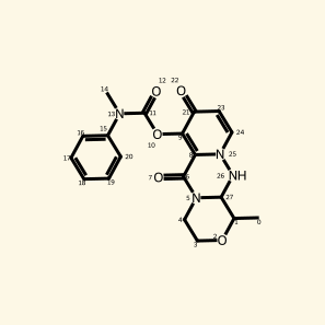 CC1OCCN2C(=O)c3c(OC(=O)N(C)c4ccccc4)c(=O)ccn3NC12